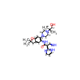 CC1(C)Cc2cc(NC(=O)/C(C=N)=C3\N=CC=CN3)c(N3CCN(C(C)(C)CO)CC3)cc2O1